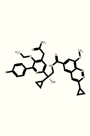 CCOc1c(CC(N)=O)cc([C@@](O)(CNC(=O)c2cc(OC)c3nnc(C4CC4)cc3c2)C2CC2)nc1-c1ccc(F)cc1